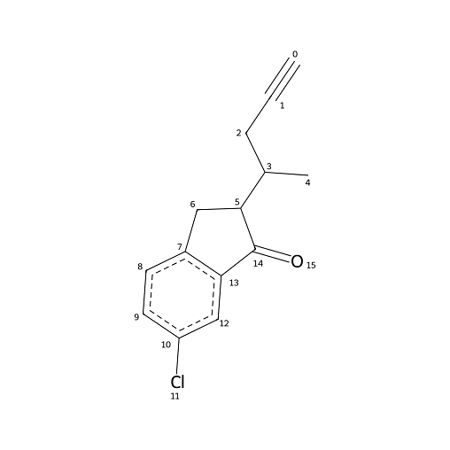 C#CCC(C)C1Cc2ccc(Cl)cc2C1=O